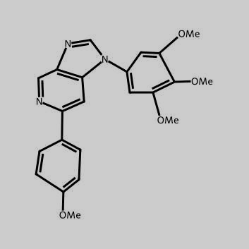 COc1ccc(-c2cc3c(cn2)ncn3-c2cc(OC)c(OC)c(OC)c2)cc1